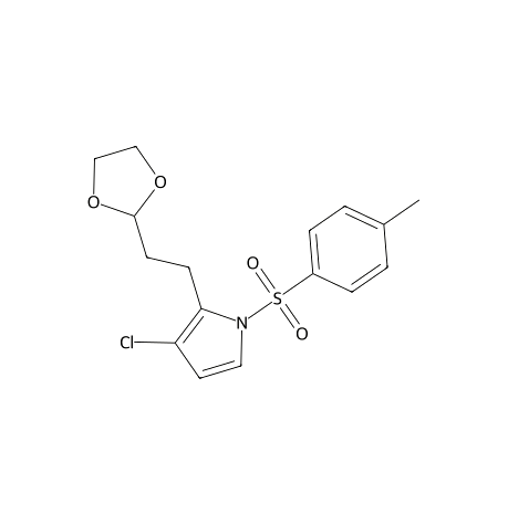 Cc1ccc(S(=O)(=O)n2ccc(Cl)c2CCC2OCCO2)cc1